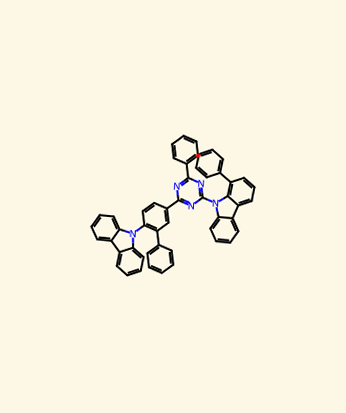 c1ccc(-c2nc(-c3ccc(-n4c5ccccc5c5ccccc54)c(-c4ccccc4)c3)nc(-n3c4ccccc4c4cccc(-c5ccccc5)c43)n2)cc1